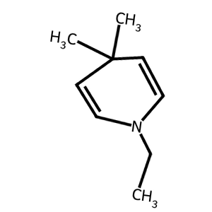 CCN1C=CC(C)(C)C=C1